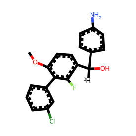 [2H]C(O)(c1ccc(N)cc1)c1ccc(OC)c(-c2cccc(Cl)c2)c1F